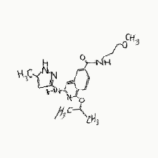 COCCCNC(=O)c1ccc2c(OC(C)C)nc(Nc3cc(C)[nH]n3)cc2c1